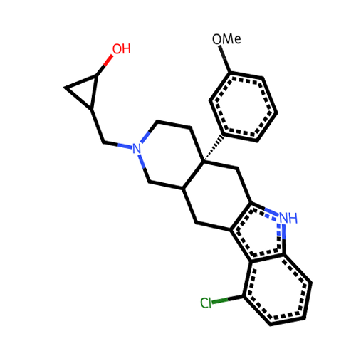 COc1cccc([C@@]23CCN(CC4CC4O)CC2Cc2c([nH]c4cccc(Cl)c24)C3)c1